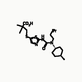 CC(C)CCN(C(=O)Nc1ncc(SCC(C)(C)C(=O)O)s1)[C@H]1CC[C@H](C)CC1